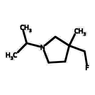 CC(C)N1CCC(C)(CF)C1